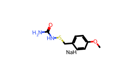 COc1ccc(CSNC(N)=O)cc1.[NaH]